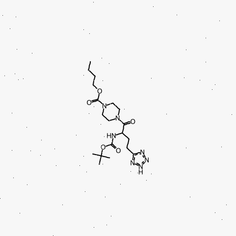 CCCCOC(=O)N1CCN(C(=O)C(CCc2nn[nH]n2)NC(=O)OC(C)(C)C)CC1